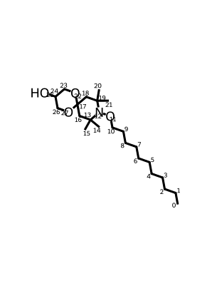 CCCCCCCCCCCON1C(C)(C)CC2(CC1(C)C)OCC(O)CO2